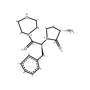 N[C@H]1CCN([C@@H](Cc2ccccc2)C(=O)N2CCOCC2)C1=O